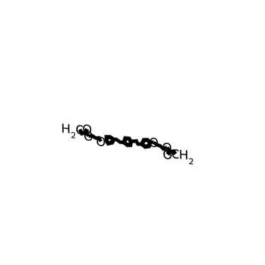 C=CC(=O)OCCCOc1ccc(CCc2ccc(CCc3ccc(OCCCOC(=O)C=C)cc3)cc2)cc1